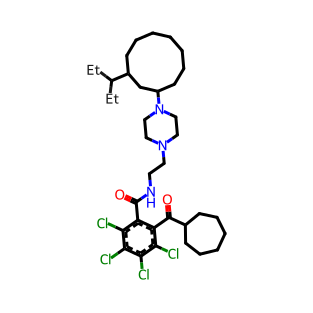 CCC(CC)C1CCCCCCCC(N2CCN(CCNC(=O)c3c(Cl)c(Cl)c(Cl)c(Cl)c3C(=O)C3CCCCCC3)CC2)C1